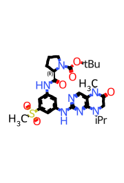 CC(C)N1CC(=O)N(C)c2cnc(Nc3cc(NC(=O)[C@H]4CCCN4C(=O)OC(C)(C)C)cc(S(C)(=O)=O)c3)nc21